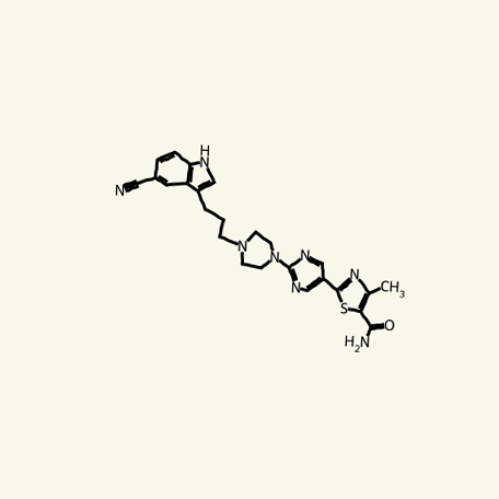 Cc1nc(-c2cnc(N3CCN(CCCc4c[nH]c5ccc(C#N)cc45)CC3)nc2)sc1C(N)=O